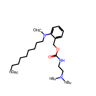 CCCCCCCCCCCCCCCCCCN(C=O)c1ccccc1COC(=O)NCCN(CCCC)CCCC